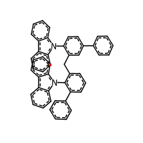 c1ccc(-c2ccc(-n3c4ccccc4c4ccccc43)c(Cc3cccc(-c4ccccc4)c3-n3c4ccccc4c4ccccc43)c2)cc1